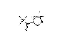 CC1(C)NC(C(=O)C(C)(C)C)CO1